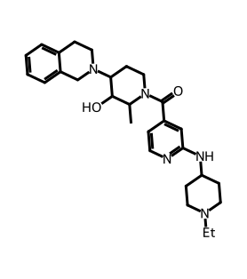 CCN1CCC(Nc2cc(C(=O)N3CCC(N4CCc5ccccc5C4)C(O)C3C)ccn2)CC1